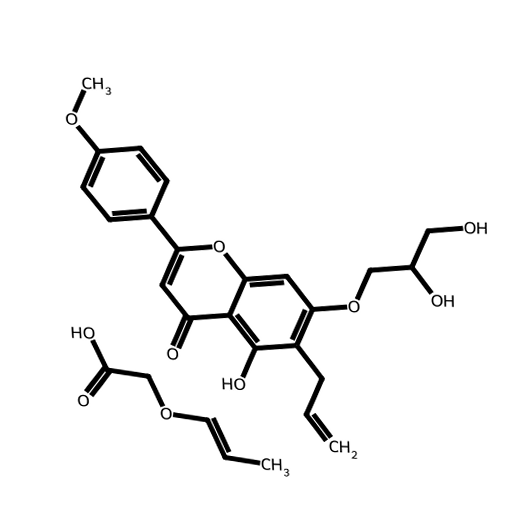 C=CCc1c(OCC(O)CO)cc2oc(-c3ccc(OC)cc3)cc(=O)c2c1O.CC=COCC(=O)O